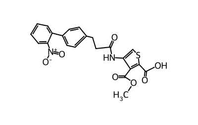 COC(=O)c1c(NC(=O)CCc2ccc(-c3ccccc3[N+](=O)[O-])cc2)csc1C(=O)O